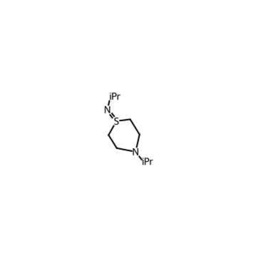 CC(C)N=S1CCN(C(C)C)CC1